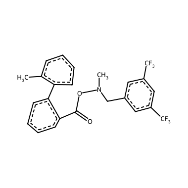 Cc1ccccc1-c1ccccc1C(=O)ON(C)Cc1cc(C(F)(F)F)cc(C(F)(F)F)c1